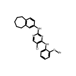 CC(C)Oc1ccccc1Nc1nc(Nc2ccc3c(c2)CCCCC3)ncc1Cl